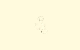 [2H]CC(=Nc1ccccc1C(C)(C)C)c1ccccn1